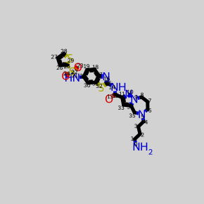 NCCCCN1CCCn2nc(C(=O)Nc3nc4ccc(NS(=O)(=O)c5cccs5)cc4s3)cc2C1